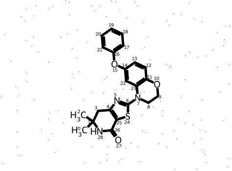 CC1(C)Cc2nc(N3CCOc4ccc(Oc5ccccc5)cc43)sc2C(=O)N1